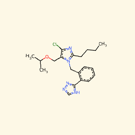 CCCCc1nc(Cl)c(COC(C)C)n1Cc1ccccc1-c1nnc[nH]1